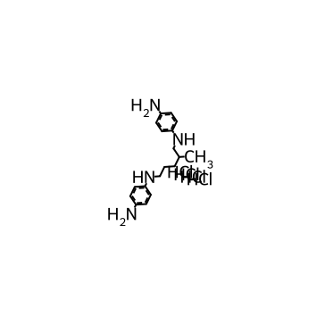 CC(CCCNc1ccc(N)cc1)CNc1ccc(N)cc1.Cl.Cl.Cl.Cl